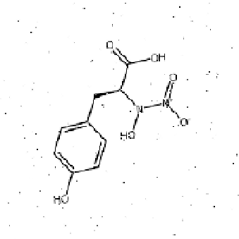 O=C(O)[C@H](Cc1ccc(O)cc1)N(O)[N+](=O)[O-]